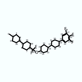 CC1CCC(C2CCC(C(F)(F)OC3CCC(C4CCC(c5cc(F)c(F)c(F)c5)CC4)CC3)CC2)CC1